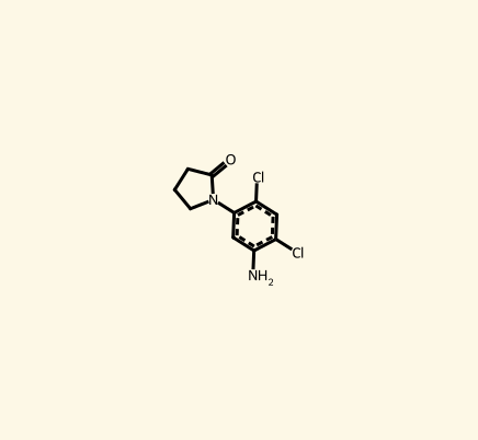 Nc1cc(N2CCCC2=O)c(Cl)cc1Cl